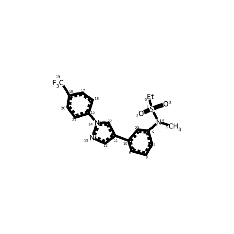 CCS(=O)(=O)N(C)c1cccc(-c2cnn(-c3ccc(C(F)(F)F)cc3)c2)c1